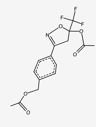 CC(=O)OCc1ccc(C2=NOC(OC(C)=O)(C(F)(F)F)C2)cc1